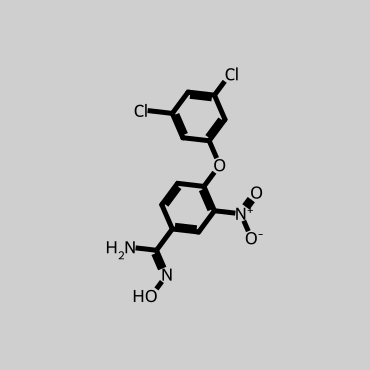 N/C(=N\O)c1ccc(Oc2cc(Cl)cc(Cl)c2)c([N+](=O)[O-])c1